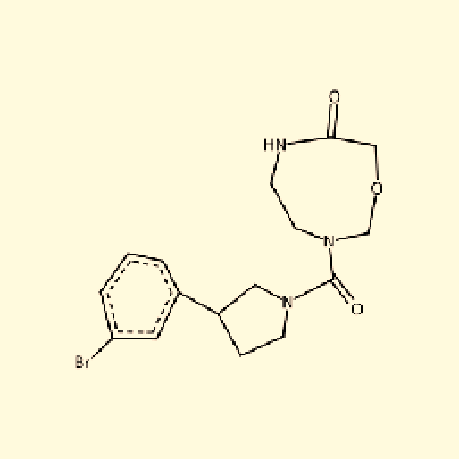 O=C1COCN(C(=O)N2CCC(c3cccc(Br)c3)C2)CCN1